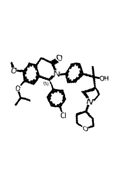 COc1cc2c(cc1OC(C)C)[C@H](c1ccc(Cl)cc1)N(c1ccc(C(C)(O)C3CN(C4CCOCC4)C3)cc1)C(=O)C2